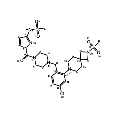 CS(=O)(=O)Nc1ccn(C(=O)N2CCN(Cc3ccc(Cl)cc3N3CCC4(CC3)CN(S(C)(=O)=O)C4)CC2)n1